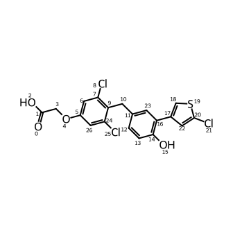 O=C(O)COc1cc(Cl)c(Cc2ccc(O)c(-c3csc(Cl)c3)c2)c(Cl)c1